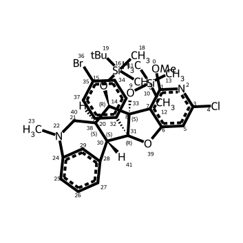 COc1nc(Cl)cc2c1[C@]1(O[Si](C)(C)C)[C@H](O[Si](C)(C)C(C)(C)C)[C@@H]3CN(C)c4cccc(c4)[C@H]3[C@]1(c1ccc(Br)cc1)O2